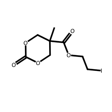 CC1(C(=O)OCCI)COC(=O)OC1